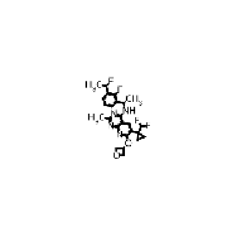 Cc1nc(N[C@H](C)c2cccc(C(C)F)c2F)c2cc(C3(C(F)F)CC3)c(OC3COC3)nc2n1